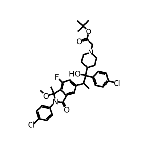 COC1(C)c2c(F)cc(C(C)C(O)(c3ccc(Cl)cc3)C3CCN(CC(=O)OC(C)(C)C)CC3)cc2C(=O)N1c1ccc(Cl)cc1